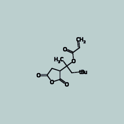 C=CC(=O)OC(C)(CC(C)(C)C)C1CC(=O)OC1=O